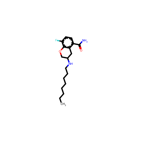 CCCCCCCCNC1COc2c(F)ccc(C(N)=O)c2C1